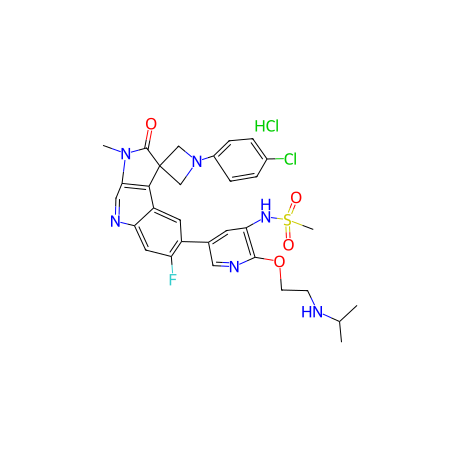 CC(C)NCCOc1ncc(-c2cc3c4c(cnc3cc2F)N(C)C(=O)C42CN(c3ccc(Cl)cc3)C2)cc1NS(C)(=O)=O.Cl